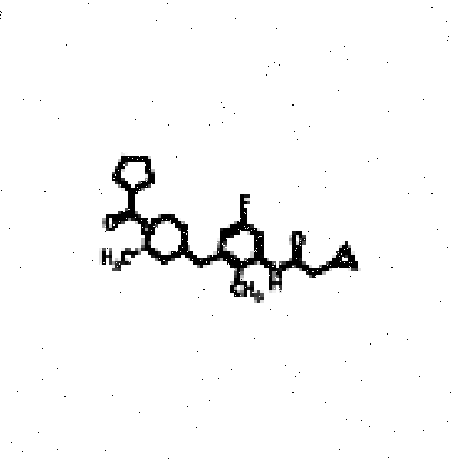 Cc1c(CN2CCN(C(=O)C3CCCC3)[C@@H](C)C2)cc(F)cc1NC(=O)CC1CC1